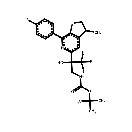 CC1COc2c1cc(C(O)(CNC(=O)OC(C)(C)C)C(F)(F)F)nc2-c1ccc(F)cc1